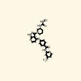 CCNC(=O)N[C@@H]1CCCN(c2n[nH]c3nccc(Oc4ccc(C(=O)Nc5cc(C(F)(F)F)ccn5)cc4)c23)C1